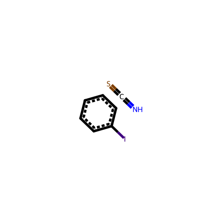 Ic1ccccc1.N=C=S